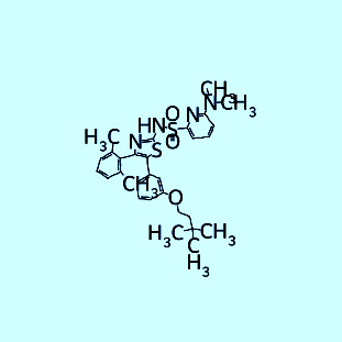 Cc1cccc(C)c1-c1nc(NS(=O)(=O)c2cccc(N(C)C)n2)sc1-c1cccc(OCCC(C)(C)C)c1